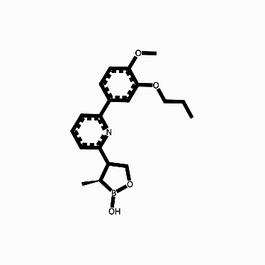 CCCOc1cc(-c2cccc(C3COB(O)[C@H]3C)n2)ccc1OC